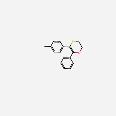 Cc1ccc(C2=C(c3ccccc3)OCCS2)cc1